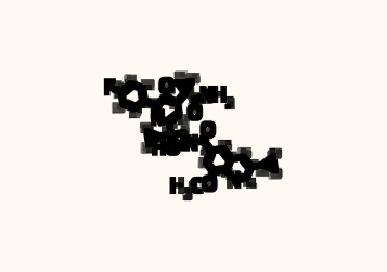 COc1cc(C(=O)NCC(O)(c2cc3c(c(-c4ccc(F)cc4)n2)OC2C[C@@]32C(N)=O)C2CC2)cc2cc(C3CC3)cnc12